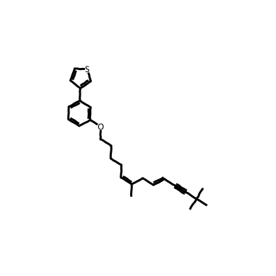 CC(=CCCCCOc1cccc(-c2ccsc2)c1)CC=CC#CC(C)(C)C